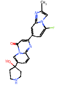 Cc1cn2c(F)cc(-c3cc(=O)n4cc(C5(O)CCNCC5)ccc4n3)cc2n1